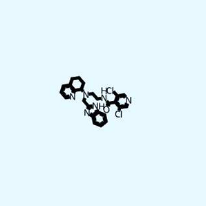 O=C(NCCN(Cc1nc2ccccc2[nH]1)C1CCCc2cccnc21)c1c(Cl)cncc1Cl